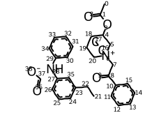 CC(=O)OC1C[N+]2(CC(=O)c3ccccc3)CCC1CC2.CCc1cccc(Nc2ccccc2)c1.O=C[O-]